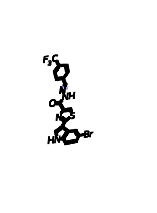 O=C(N/N=C/c1ccc(C(F)(F)F)cc1)c1csc(-c2c[nH]c3ccc(Br)cc23)n1